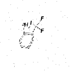 FC(F)(F)c1ccccc1P